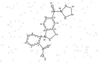 COC(=O)c1ccccc1N1CCc2cc(C(=O)N3CCCC3)ccc21